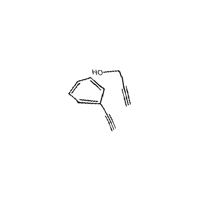 C#CCO.C#Cc1ccccc1